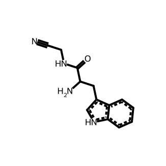 N#CCNC(=O)C(N)Cc1c[nH]c2ccccc12